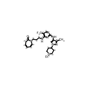 CCN1CCC(n2cc(Nc3ncc(C(F)(F)F)c(NCCCN4C=CC=CCC4=O)n3)c(C)n2)CC1